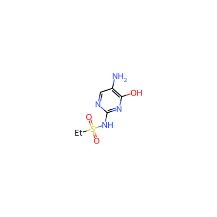 CCS(=O)(=O)Nc1ncc(N)c(O)n1